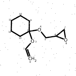 C=COC1(OCC2CO2)CCCCC1